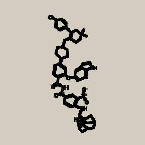 CC1(C)CCC(CN2CCN(c3ccc(C(=O)N[S+]([O-])c4ccc(NCC56CC7CC(C5)C(O)C(C7)C6)c([N+](=O)[O-])c4)c(Oc4cnc5[nH]ccc5c4)c3)CC2)=C(c2ccc(Cl)cc2)C1